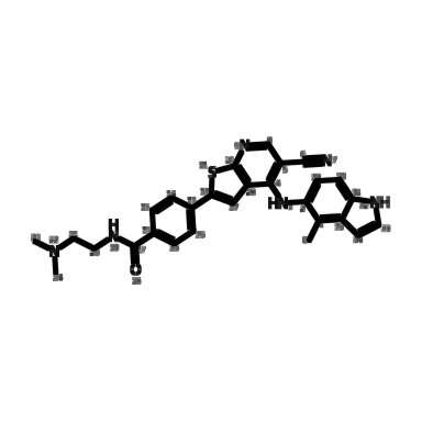 Cc1c(Nc2c(C#N)cnc3sc(-c4ccc(C(=O)NCCN(C)C)cc4)cc23)ccc2[nH]ccc12